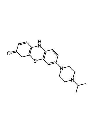 CC(C)N1CCN(c2ccc3c(c2)SC2=C(C=CC(=O)C2)N3)CC1